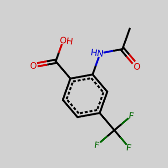 CC(=O)Nc1cc(C(F)(F)F)ccc1C(=O)O